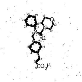 O=C(O)/C=C/c1ccc(CN(C(=O)N2CCOCC2)c2ccccc2)cc1